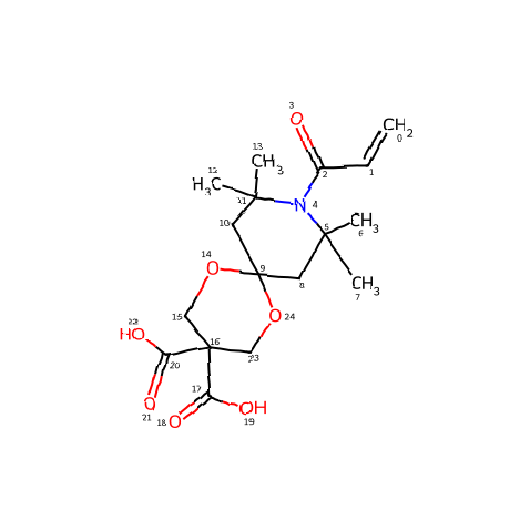 C=CC(=O)N1C(C)(C)CC2(CC1(C)C)OCC(C(=O)O)(C(=O)O)CO2